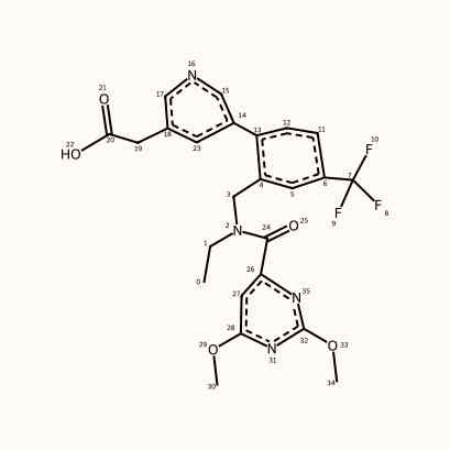 CCN(Cc1cc(C(F)(F)F)ccc1-c1cncc(CC(=O)O)c1)C(=O)c1cc(OC)nc(OC)n1